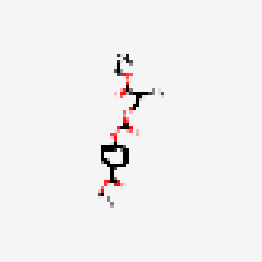 CCOC(=O)C(C)COC(=O)Oc1ccc(C(=O)OC)cc1